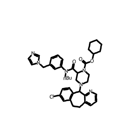 CCCCN(C(=O)C1CN(C2c3ccc(Cl)cc3CCc3cccnc32)CCN1C(=O)OC1CCCCC1)c1cccc(Cn2ccnc2)c1